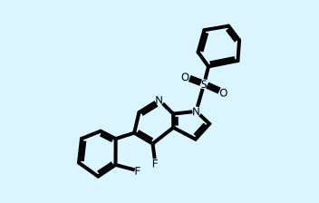 O=S(=O)(c1ccccc1)n1ccc2c(F)c(-c3ccccc3F)cnc21